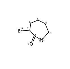 O=C1[N]CCCCC1Br